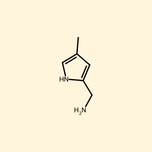 Cc1c[nH]c(CN)c1